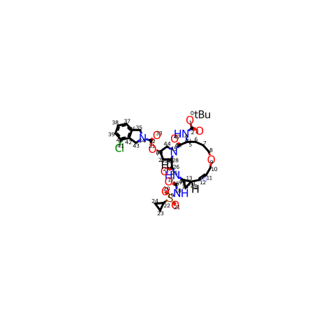 CC(C)(C)OC(=O)N[C@H]1CCCOC/C=C\[C@@H]2C[C@@]2(C(=O)NS(=O)(=O)C2CC2)NC(=O)[C@@H]2C[C@@H](OC(=O)N3Cc4cccc(Cl)c4C3)CN2C1=O